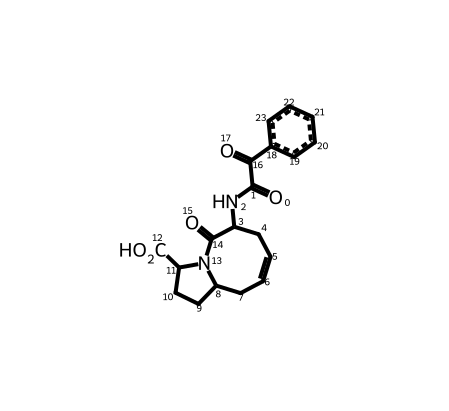 O=C(NC1CC=CCC2CCC(C(=O)O)N2C1=O)C(=O)c1ccccc1